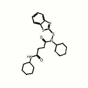 O=C(CCC(=O)N(Sc1nc2ccccc2s1)C1CCCCC1)NC1CCCCC1